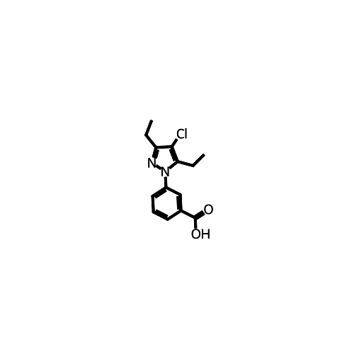 CCc1nn(-c2cccc(C(=O)O)c2)c(CC)c1Cl